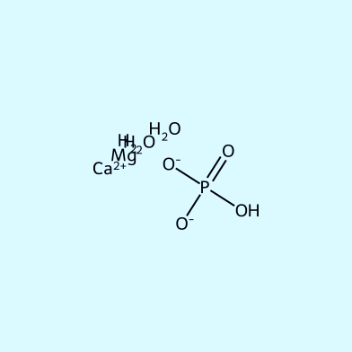 O.O.O=P([O-])([O-])O.[Ca+2].[MgH2]